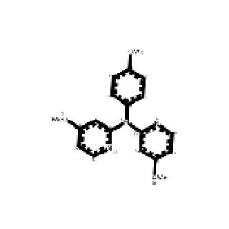 COc1ccc(N(c2cc(OC)ccn2)c2cc(OC)ccn2)cc1